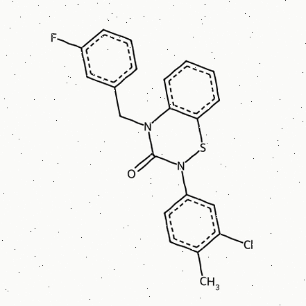 Cc1ccc(N2Sc3ccccc3N(Cc3cccc(F)c3)C2=O)cc1Cl